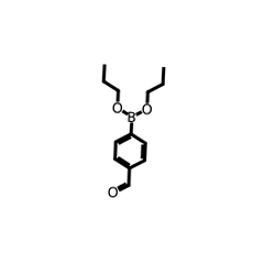 CCCOB(OCCC)c1ccc(C=O)cc1